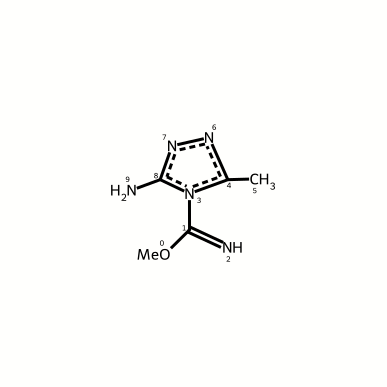 COC(=N)n1c(C)nnc1N